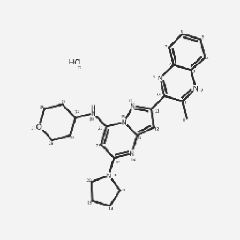 Cc1nc2ccccc2nc1-c1cc2nc(N3CCCC3)cc(NC3CCOCC3)n2n1.Cl